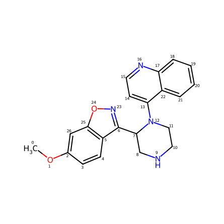 COc1ccc2c(C3CNCCN3c3ccnc4ccccc34)noc2c1